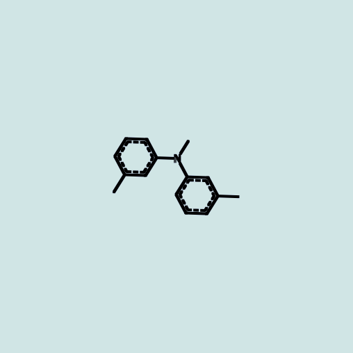 Cc1cccc(N(C)c2cccc(C)c2)c1